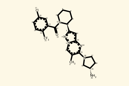 Cc1cn2nc([C@@H]3CCCCN3C(=O)c3cc(Cl)ccc3C(F)(F)F)cc2nc1N1CC[C@H](N)C1